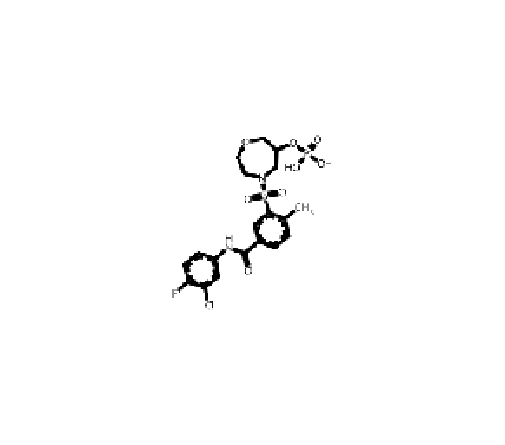 Cc1ccc(C(=O)Nc2ccc(F)c(Cl)c2)cc1S(=O)(=O)N1CCOCC(OP(=O)(O)O)C1